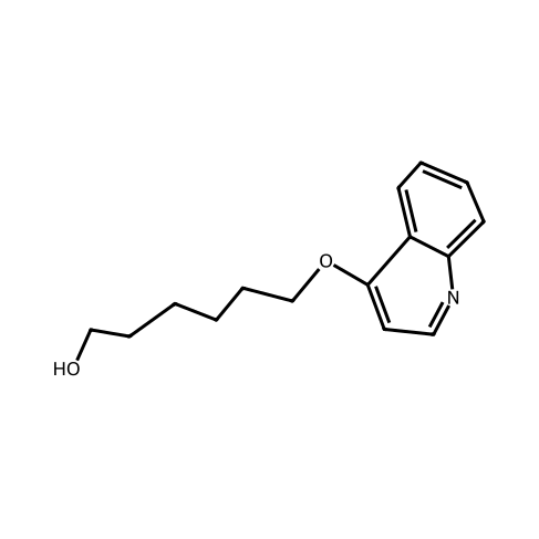 OCCCCCCOc1ccnc2ccccc12